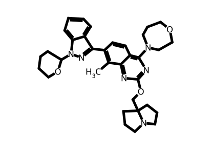 Cc1c(-c2nn(C3CCCCO3)c3ccccc23)ccc2c(N3CCCOCC3)nc(OCC34CCCN3CCC4)nc12